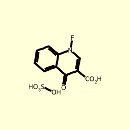 O=C(O)c1cn(F)c2ccccc2c1=O.O=S(=O)(O)O